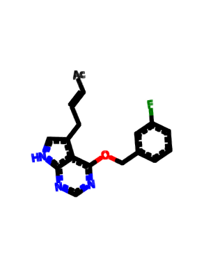 CC(=O)C=CCc1c[nH]c2ncnc(OCc3cccc(F)c3)c12